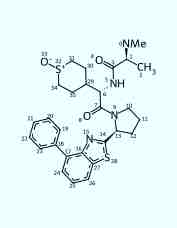 CN[C@@H](C)C(=O)N[C@H](C(=O)N1CCC[C@H]1c1nc2c(-c3ccccc3)cccc2s1)C1CC[S+]([O-])CC1